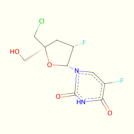 O=c1[nH]c(=O)n([C@@H]2O[C@@](CO)(CCl)C[C@@H]2F)cc1F